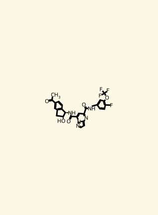 CC(=O)c1ccc2c(c1)C[C@H](O)[C@@H]2NC(=O)c1cc(C(=O)NCc2ccc(F)c(OC(F)(F)F)c2)nc2ccnn12